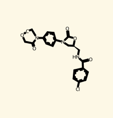 O=C(NC[C@H]1CN(c2ccc(N3CCOCC3=O)cc2)C(=O)O1)c1ccc(Cl)cc1